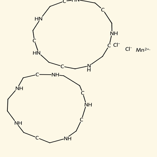 C1CNCCNCCCNCCNCCNC1.C1CNCCNCCCNCCNCCNC1.[Cl-].[Cl-].[Mn+2]